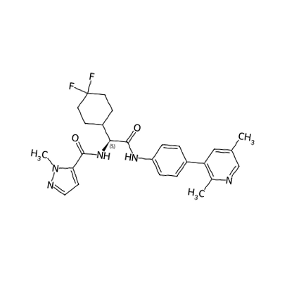 Cc1cnc(C)c(-c2ccc(NC(=O)[C@@H](NC(=O)c3ccnn3C)C3CCC(F)(F)CC3)cc2)c1